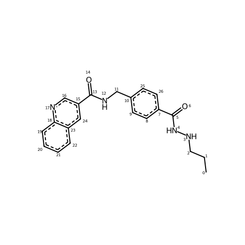 CCCNNC(=O)c1ccc(CNC(=O)c2cnc3ccccc3c2)cc1